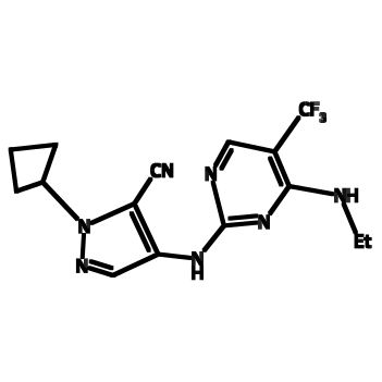 CCNc1nc(Nc2cnn(C3CCC3)c2C#N)ncc1C(F)(F)F